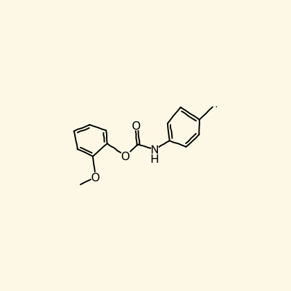 [CH2]c1ccc(NC(=O)Oc2ccccc2OC)cc1